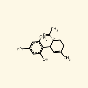 C=C(C)[C@@H]1CCC(C)=CC1c1c(O)cc(CCC)cc1O